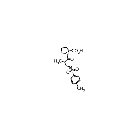 Cc1ccc(S(=O)(=O)OCC(C)C(=O)N2CCC[C@H]2C(=O)O)cc1